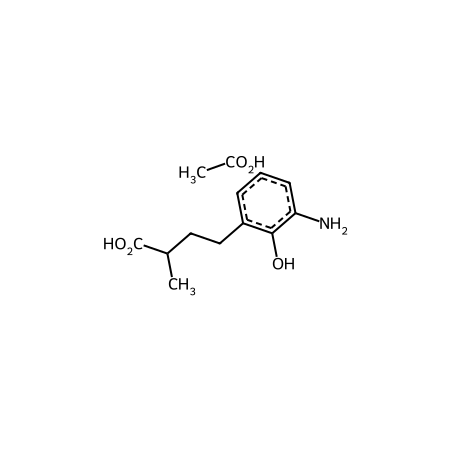 CC(=O)O.CC(CCc1cccc(N)c1O)C(=O)O